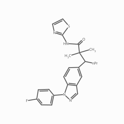 CCCC(c1ccc2c(cnn2-c2ccc(F)cc2)c1)C(C)(C)C(=O)Nc1nccs1